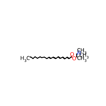 CCCCCCCCCC=CC=CC=CC=CC=CC(=O)OC(C)CN(C)C